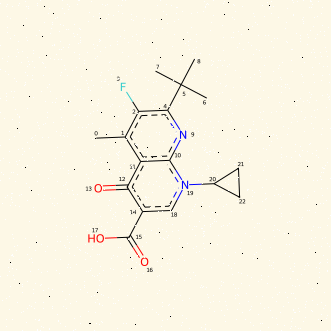 Cc1c(F)c(C(C)(C)C)nc2c1c(=O)c(C(=O)O)cn2C1CC1